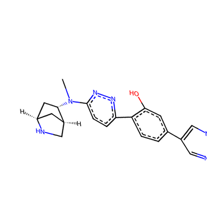 CN(c1ccc(-c2ccc(/C(C=N)=C/N)cc2O)nn1)[C@H]1C[C@H]2C[C@@H]1CN2